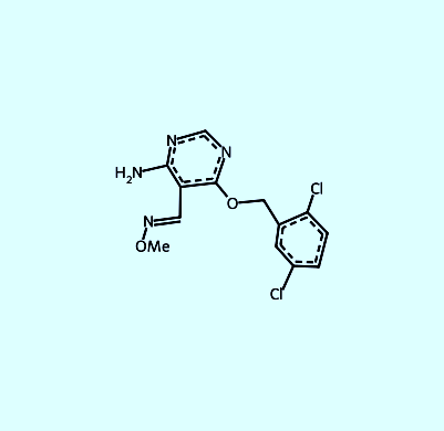 CO/N=C/c1c(N)ncnc1OCc1cc(Cl)ccc1Cl